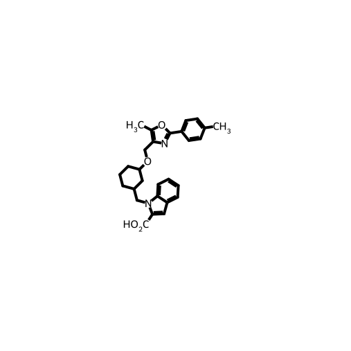 Cc1ccc(-c2nc(COC3CCCC(Cn4c(C(=O)O)cc5ccccc54)C3)c(C)o2)cc1